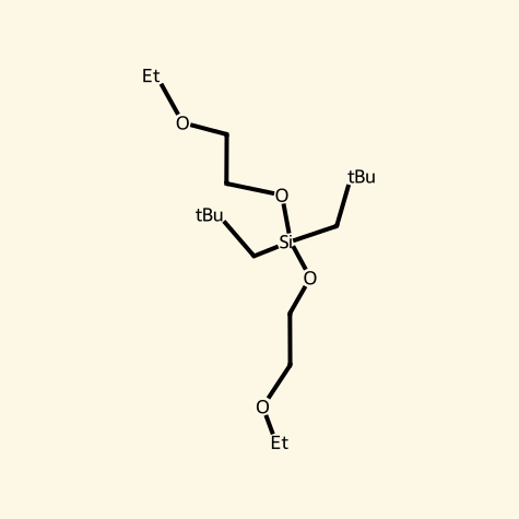 CCOCCO[Si](CC(C)(C)C)(CC(C)(C)C)OCCOCC